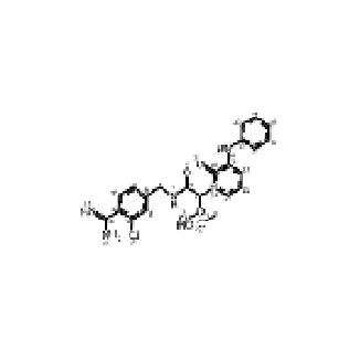 CC(=O)O.CCOC(C(=O)NCc1ccc(C(=N)N)c(Cl)c1)n1cccc(Nc2ccccc2)c1=O